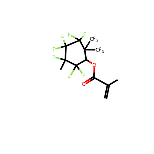 C=C(C)C(=O)OC1C(F)(F)C(C)(F)C(F)(F)C(F)(F)C1(C(F)(F)F)C(F)(F)F